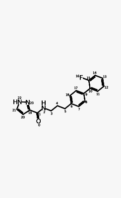 O=C(NCCCc1ccc(-c2ccccc2F)cc1)c1cc[nH]n1